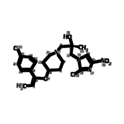 CC=C(OC1CCN(C[C@](C)(O)Cn2cc([N+](=O)[O-])nc2Cl)CC1)c1ccc(Cl)cc1